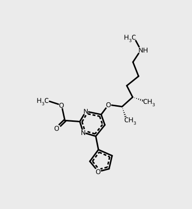 CNCCC[C@H](C)[C@H](C)Oc1cc(-c2ccoc2)nc(C(=O)OC)n1